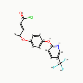 CC(/C=C/C(=O)Cl)Oc1ccc(Oc2ccc(C(F)(F)F)cn2)cc1